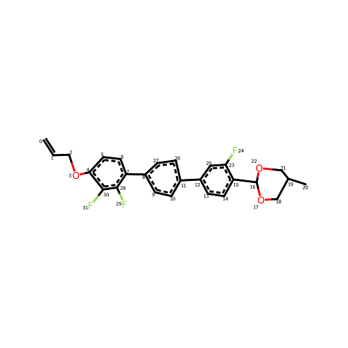 C=CCOc1ccc(-c2ccc(-c3ccc(C4OCC(C)CO4)c(F)c3)cc2)c(F)c1F